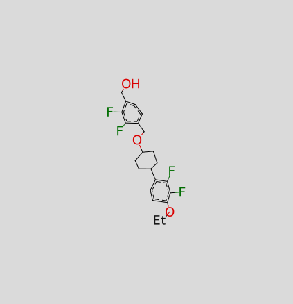 CCOc1ccc(C2CCC(OCc3ccc(CO)c(F)c3F)CC2)c(F)c1F